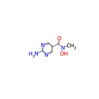 CN(O)C(=O)c1cnc(N)nc1